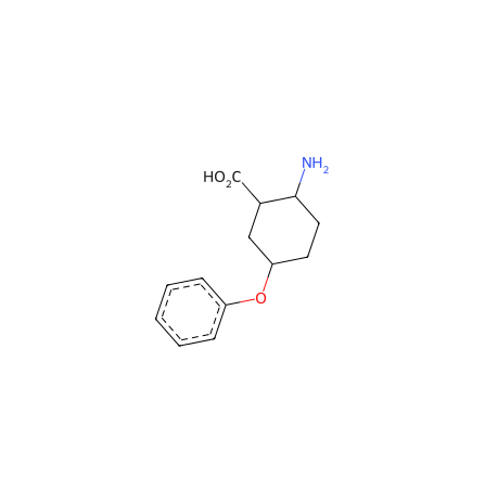 NC1CCC(Oc2ccccc2)CC1C(=O)O